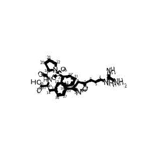 N=C(N)NCCCC1CC(c2ccc(C[C@H](NC(=O)[C@@H]3CCCN3S(=O)(=O)c3ccccc3)C(=O)O)cc2)=NO1